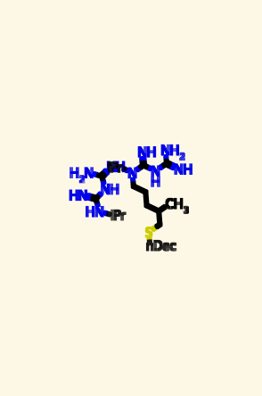 CC(C)NC(=N)NC(=N)N.CCCCCCCCCCSCC(C)CCCN(C(=N)NC(=N)N)C(C)C